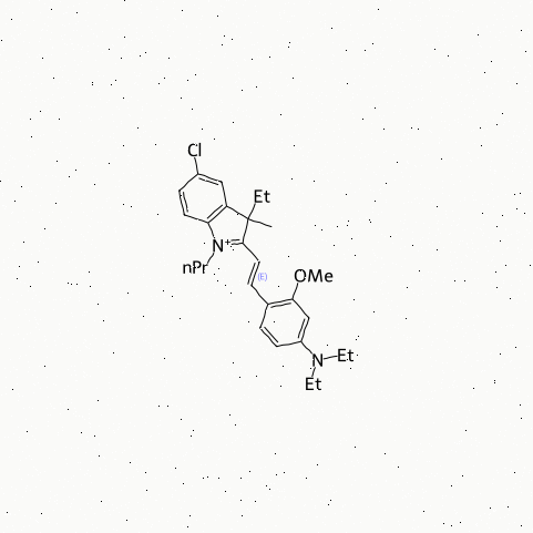 CCC[N+]1=C(/C=C/c2ccc(N(CC)CC)cc2OC)C(C)(CC)c2cc(Cl)ccc21